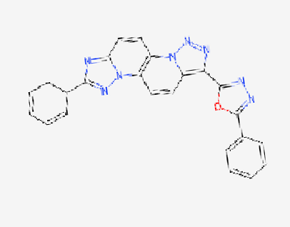 C1=CCC(c2nc3ccc4c(ccc5c(-c6nnc(-c7ccccc7)o6)nnn54)n3n2)C=C1